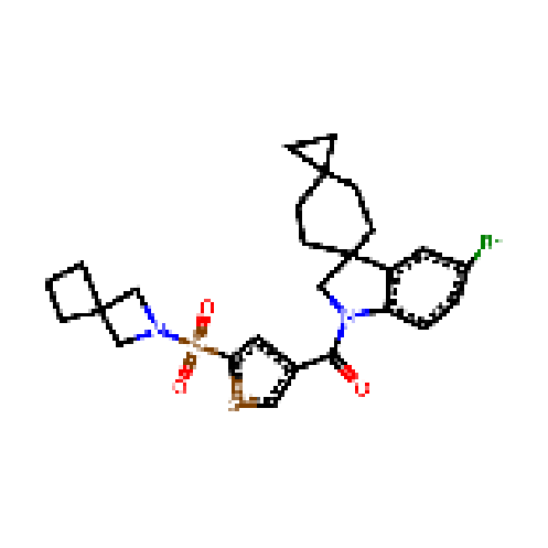 O=C(c1csc(S(=O)(=O)N2CC3(CCC3)C2)c1)N1CC2(CCC3(CC3)CC2)c2cc(Br)ccc21